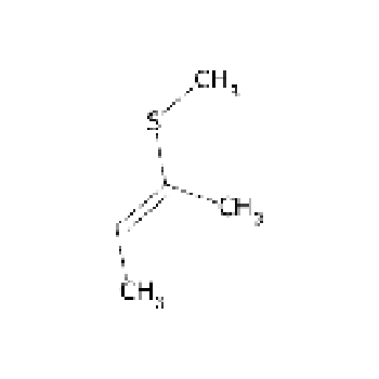 C/C=C(\C)SC